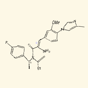 C=C(CC)N(C(=O)/C(N)=C/c1ccc(-n2cnc(C)c2)c(OC)c1)[C@@H](C)c1ccc(F)cc1